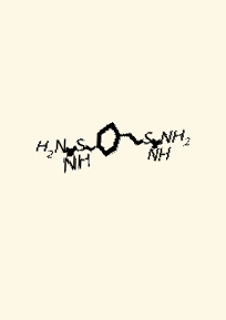 N=C(N)SCC[C@H]1CC[C@@H](CSC(=N)N)CC1